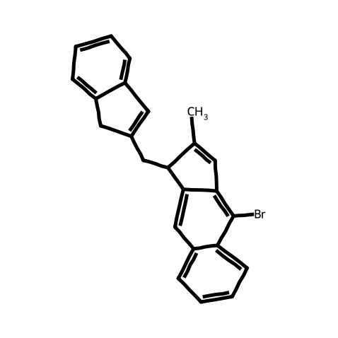 CC1=Cc2c(cc3ccccc3c2Br)C1CC1=Cc2ccccc2C1